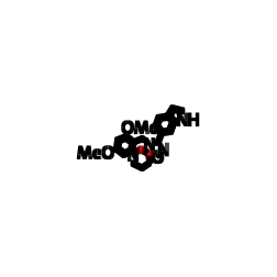 COc1ccc(CN2C(c3ccc4cc[nH]c4c3)=NOC23CN2CCC3CC2)c(OC)c1